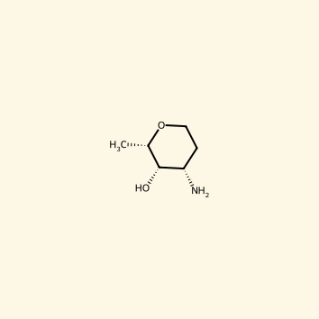 C[C@@H]1OCC[C@H](N)[C@@H]1O